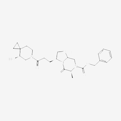 C[C@H]1C(=O)N2[C@@H](CCC(=O)N3CCC4(CC4)[C@H](O)C3)CO[C@H]2CN1C(=O)OCc1ccccc1